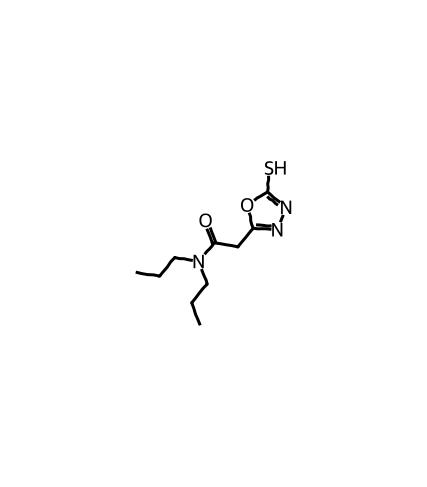 CCCN(CCC)C(=O)Cc1nnc(S)o1